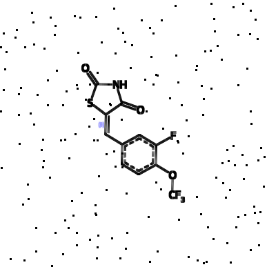 O=C1NC(=O)/C(=C\c2ccc(OC(F)(F)F)c(F)c2)S1